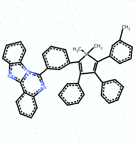 Cc1cccc(C2=C(c3ccccc3)C(c3ccccc3)=C(c3cccc(-c4nc5ccccc5c5nc6ccccc6n45)c3)[Si]2(C)C)c1